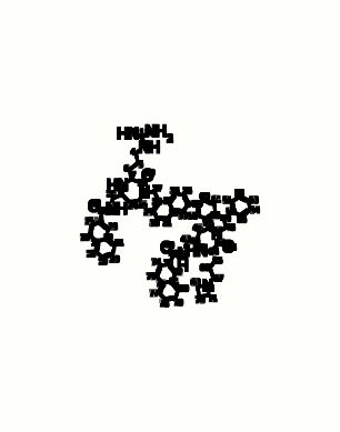 N=C(N)NCCC[C@@H]1N[C@H](CNC(=O)c2ccc3ccccc3c2)CCN(Cc2cccc3ccccc23)C1=O.O=C(NC[C@@H]1CCN(CC(c2ccccc2)c2ccccc2)C(=O)[C@H](CCCN2CCC2)N1)c1ccc2ccccc2c1